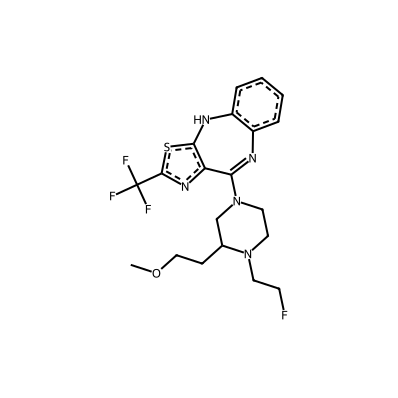 COCCC1CN(C2=Nc3ccccc3Nc3sc(C(F)(F)F)nc32)CCN1CCF